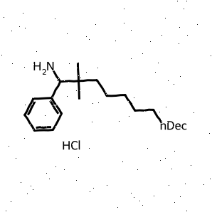 CCCCCCCCCCCCCCCC(C)(C)C(N)c1ccccc1.Cl